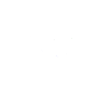 O=C=Nc1ncc(Br)s1